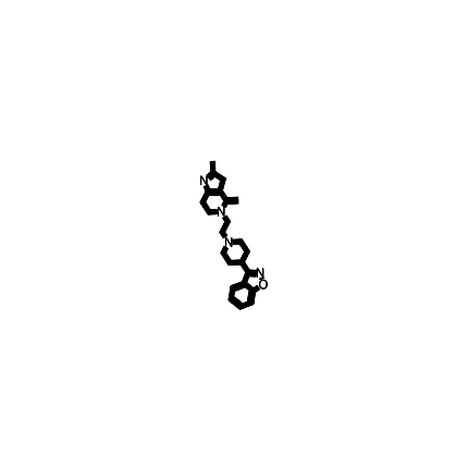 C=C1C2=C(CCN1CCN1CCC(c3noc4ccccc34)CC1)N=C(C)C2